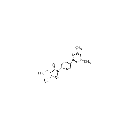 CCC(C(=O)Nc1ccc(-c2cc(C)cc(C)n2)cc1)C(C)S